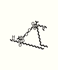 CCCCCCCCCCCCCCCC(=O)N(CCCNCC)C(C(=O)NCCOCCOCCNC(=O)C(C(C)C)N(CCCN(CC)CC)C(=O)CCCCCCCCCCCCCCC)C(C)C